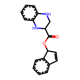 O=C(OC1C=Cc2ccccc21)C1CNc2ccccc2N1